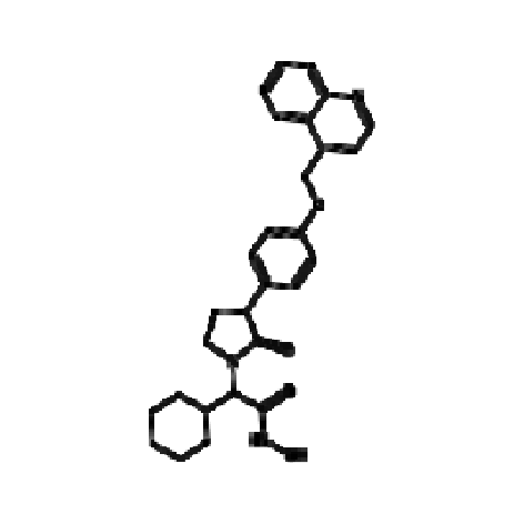 O=C(NO)C(C1CCCCC1)N1CCC(c2ccc(OCc3ccnc4ccccc34)cc2)C1=O